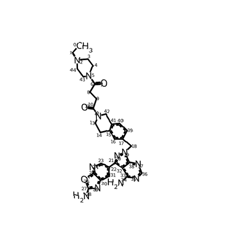 CCN1CCN(C(=O)CCC(=O)N2CCc3cc(Cn4nc(-c5cnc6oc(N)nc6c5)c5c(N)ncnc54)ccc3C2)CC1